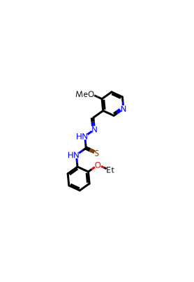 CCOc1ccccc1NC(=S)N/N=C/c1cnccc1OC